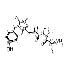 COC(=O)[C@H](Cc1ccc(O)cc1)NC(=O)CNC(=O)[C@@H]1CCCN1C(=O)[C@H](C)N